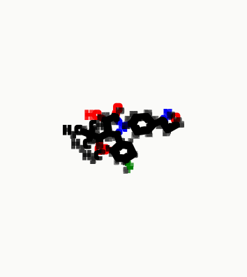 COc1cc(F)ccc1C1C(C(=O)C(C)(C)C)=C(O)C(=O)N1c1ccc(-c2ccon2)cc1